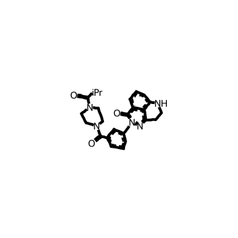 CC(C)C(=O)N1CCN(C(=O)c2cccc(-n3nc4c5c(cccc5c3=O)NCC4)c2)CC1